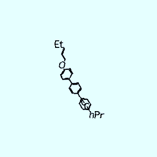 CCC=CCOc1ccc(-c2ccc(C34CCC(CCC)(CC3)CC4)cc2)cc1